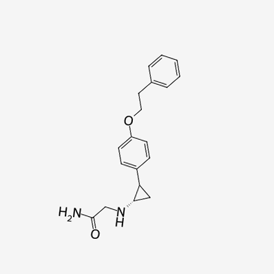 NC(=O)CN[C@H]1CC1c1ccc(OCCc2ccccc2)cc1